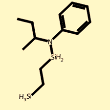 CCC(C)N([SiH2]CC[SiH3])c1ccccc1